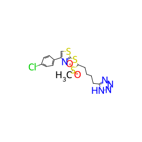 CS(=O)(=O)C(CCCCc1nnn[nH]1)Sc1nc(-c2ccc(Cl)cc2)cs1